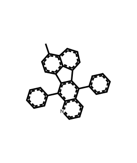 Cc1ccc2c3c(cccc13)-c1c-2c(-c2ccccc2)c2ncccc2c1-c1ccccc1